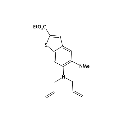 C=CCN(CC=C)c1cc2sc(C(=O)OCC)cc2cc1NC